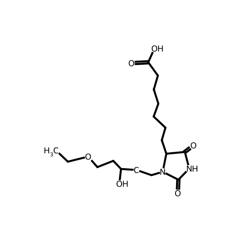 CCOCCC(O)CCN1C(=O)NC(=O)C1CCCCCCC(=O)O